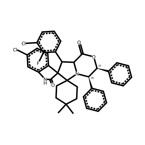 CC1(C)CCC2(CC1)N1C(C(=O)O[C@@H](c3ccccc3)[C@H]1c1ccccc1)C(c1cccc(Cl)c1F)C21C(=O)Nc2cc(Cl)ccc21